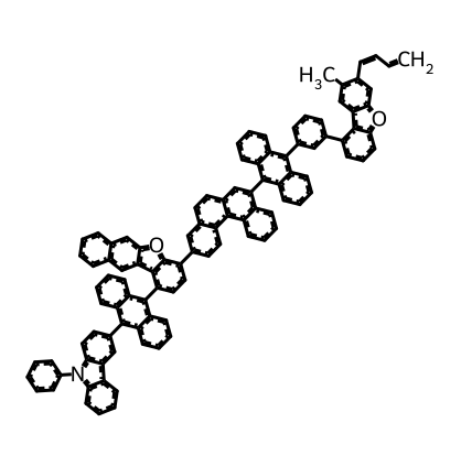 C=C/C=C\c1cc2oc3cccc(-c4cccc(-c5c6ccccc6c(-c6cc7ccc8cc(-c9ccc(-c%10c%11ccccc%11c(-c%11ccc%12c(c%11)c%11ccccc%11n%12-c%11ccccc%11)c%11ccccc%10%11)c%10c9oc9cc%11ccccc%11cc9%10)ccc8c7c7ccccc67)c6ccccc56)c4)c3c2cc1C